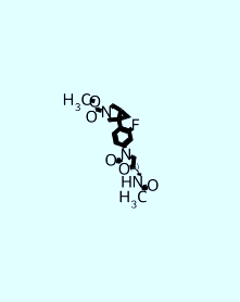 COC(=O)N1CC2CC2(c2ccc(N3C[C@H](CNC(C)=O)OC3=O)cc2F)C1